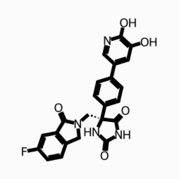 O=C1NC(=O)[C@](CN2Cc3ccc(F)cc3C2=O)(c2ccc(-c3cnc(O)c(O)c3)cc2)N1